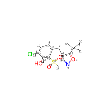 CC1(c2oncc2Cc2ccc(Cl)c(O)c2S(C)(=O)=O)CC1